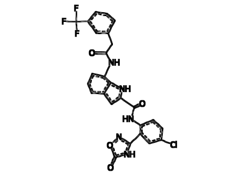 O=C(Cc1cccc(C(F)(F)F)c1)Nc1cccc2cc(C(=O)Nc3ccc(Cl)cc3-c3noc(=O)[nH]3)[nH]c12